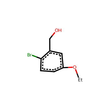 CCOc1ccc(Br)c(CO)c1